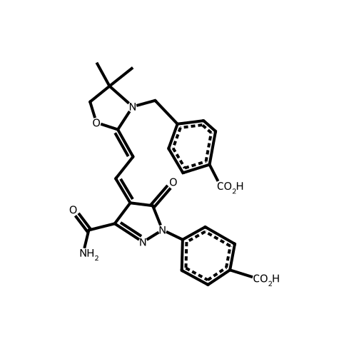 CC1(C)COC(=CC=C2C(=O)N(c3ccc(C(=O)O)cc3)N=C2C(N)=O)N1Cc1ccc(C(=O)O)cc1